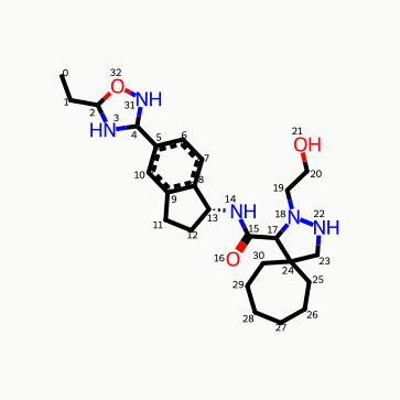 CCC1NC(c2ccc3c(c2)CC[C@H]3NC(=O)C2N(CCO)NCC23CCCCCC3)NO1